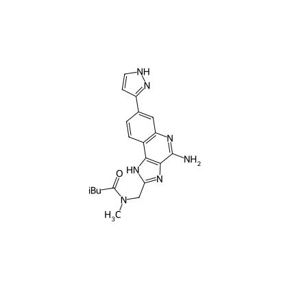 CCC(C)C(=O)N(C)Cc1nc2c(N)nc3cc(-c4cc[nH]n4)ccc3c2[nH]1